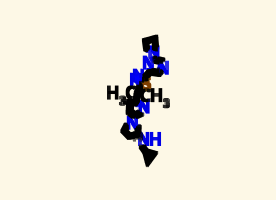 CC(C)(c1ccc(N2CCC[C@@H](NCC3CC3)C2)cn1)c1nnc(-c2cncc(N3CCCC3)n2)s1